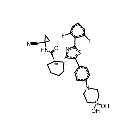 N#CC1(NC(=O)[C@@H]2CCCC[C@H]2c2nc(-c3c(F)cccc3F)sc2-c2ccc(N3CCS(O)(O)CC3)cc2)CC1